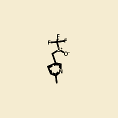 Cc1ccc(C[S+]([O-])C(F)(F)F)cn1